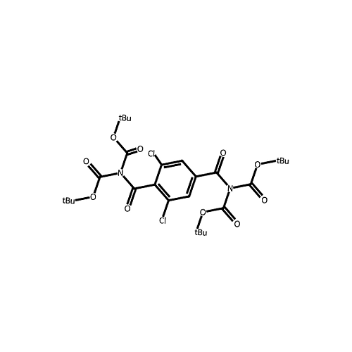 CC(C)(C)OC(=O)N(C(=O)OC(C)(C)C)C(=O)c1cc(Cl)c(C(=O)N(C(=O)OC(C)(C)C)C(=O)OC(C)(C)C)c(Cl)c1